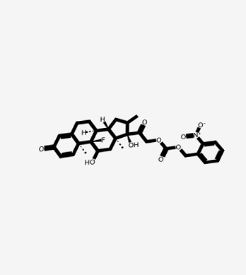 CC1C[C@H]2[C@@H]3CCC4=CC(=O)C=C[C@]4(C)[C@@]3(F)C(O)C[C@]2(C)[C@@]1(O)C(=O)COC(=O)OCc1ccccc1[N+](=O)[O-]